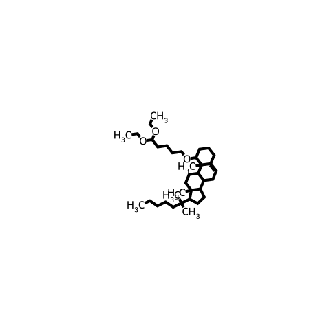 CCCCCC(C)(C)C1CCC2C3CC=C4CCCC(OCCCCC(OCC)OCC)C4(C)C3CCC21C